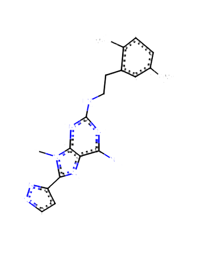 CCCn1c(-c2cc[nH]n2)nc2c(N)nc(NCCc3cc(OC)ccc3OC)nc21